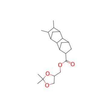 CC1C(C)C2CC1C1C3CC(C(=O)OCC4COC(C)(C)O4)C(C3)C21